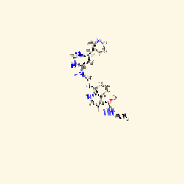 CNC(=O)c1ccnc2c(CCNc3cc(-c4cccnc4)ncn3)cccc12